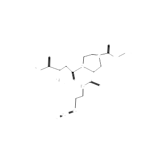 CC(C)(C)OC(=O)[C@@H](N)CC(=O)N1CCN(C(=O)OC(C)(C)C)C[C@@H]1C(=O)NCCN=[N+]=[N-]